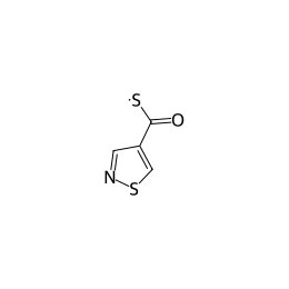 O=C([S])c1cnsc1